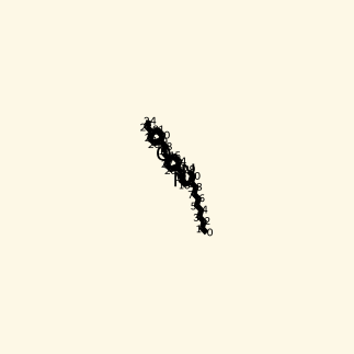 CCCCCCCCCc1cnc(-c2ccc(OCc3ccc(CC)cc3)cc2)nc1